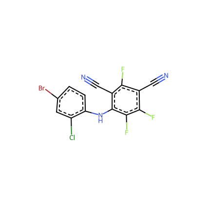 N#Cc1c(F)c(F)c(Nc2ccc(Br)cc2Cl)c(C#N)c1F